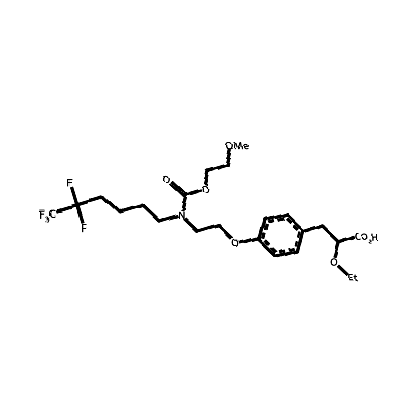 CCOC(Cc1ccc(OCCN(CCCCC(F)(F)C(F)(F)F)C(=O)OCCOC)cc1)C(=O)O